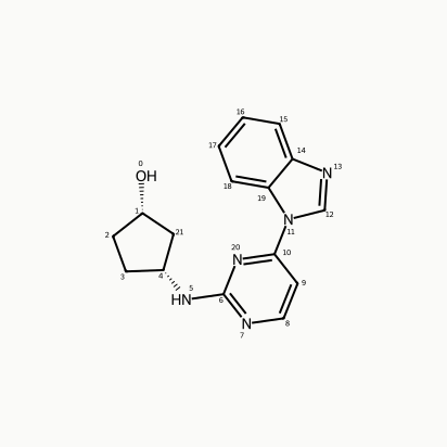 O[C@H]1CC[C@@H](Nc2nccc(-n3cnc4ccccc43)n2)C1